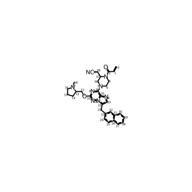 C=CC(=O)N1CCN(c2nc(OCC3CCCN3C)nn3c(Cc4ccc5ccccc5c4)cnc23)CC1CC#N